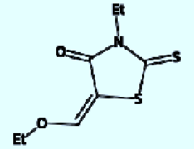 CCO/C=C1/SC(=S)N(CC)C1=O